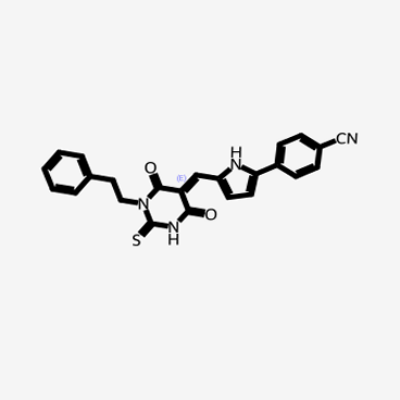 N#Cc1ccc(-c2ccc(/C=C3\C(=O)NC(=S)N(CCc4ccccc4)C3=O)[nH]2)cc1